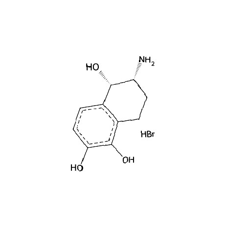 Br.N[C@@H]1CCc2c(ccc(O)c2O)[C@@H]1O